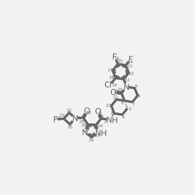 O=C(N[C@H]1CC[C@]2(CCCN(c3cc(F)c(F)cc3Cl)C2=O)CC1)c1[nH]cnc1C(=O)N1CC(F)C1